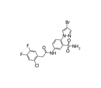 NS(=O)(=O)c1cc(NC(=O)Cc2cc(F)c(F)cc2Cl)ccc1-n1cc(Br)cn1